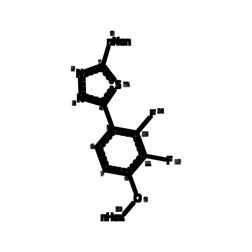 CCCCCCCCCc1nnc(-c2ccc(OCCCCCC)c(F)c2F)s1